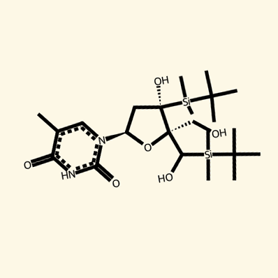 Cc1cn([C@H]2C[C@@](O)([Si](C)(C)C(C)(C)C)[C@@](CO)(C(O)[Si](C)(C)C(C)(C)C)O2)c(=O)[nH]c1=O